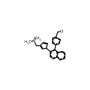 CN(C)CC1=CC(c2ccc3ccccc3c2-c2ccc(C[O])cc2)C=C1